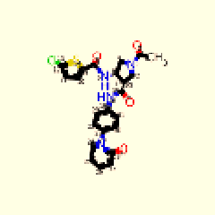 CC(=O)N1C[C@@H](NC(=O)c2ccc(Cl)s2)[C@H](C(=O)Nc2ccc(-n3ccccc3=O)cc2)C1